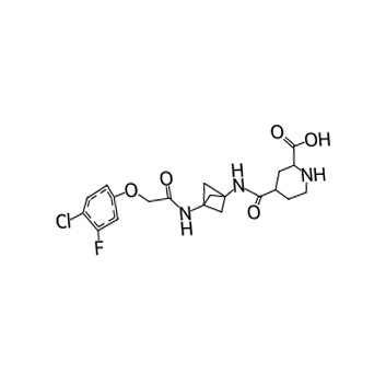 O=C(COc1ccc(Cl)c(F)c1)NC12CC(NC(=O)C3CCNC(C(=O)O)C3)(C1)C2